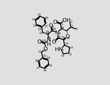 CC(C)C[C@H](C(=O)O)N(C(=O)C(=O)C1CCCN1)C(=O)[C@H](Cc1ccccc1)NC(=O)OCc1ccccc1